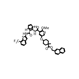 COc1ncc(OC2CCC(C)(C(=O)OCc3ccc4ccccc4c3)CC2)cc1C(=O)N[C@H]1[C@@H](C(=O)Nc2cc3cccc(C(F)(F)F)c3s2)[C@@H]2C=C[C@H]1C2